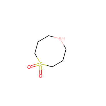 O=S1(=O)CCCBCCC1